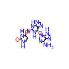 Nc1nc2[nH]cnc2c(=O)[nH]1.Nc1ncnc2[nH]cnc12.O=c1cc[nH]c(=O)[nH]1